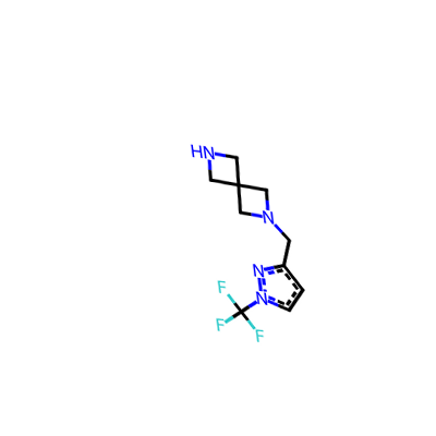 FC(F)(F)n1ccc(CN2CC3(CNC3)C2)n1